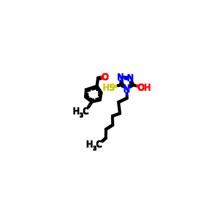 CCCCCCCCn1c(O)nnc1S.Cc1ccc(C=O)cc1